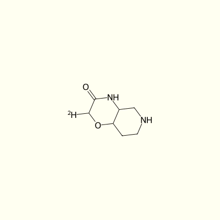 [2H]C1OC2CCNCC2NC1=O